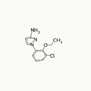 CCOc1c(Cl)cccc1-n1ccc(N)n1